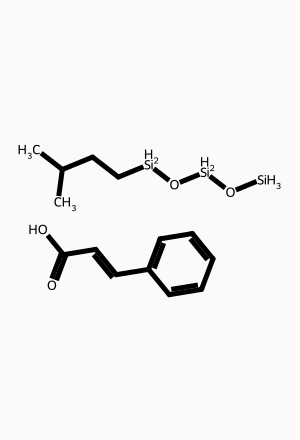 CC(C)CC[SiH2]O[SiH2]O[SiH3].O=C(O)C=Cc1ccccc1